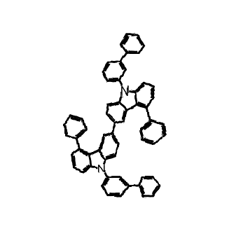 c1ccc(-c2cccc(-n3c4ccc(-c5ccc6c(c5)c5c(-c7ccccc7)cccc5n6-c5cccc(-c6ccccc6)c5)cc4c4c(-c5ccccc5)cccc43)c2)cc1